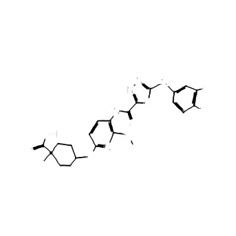 COc1nc(OC2CCC(C)(C(=O)O)CC2)ccc1NC(=O)c1nnc(Nc2ccc(F)c(Cl)c2)o1